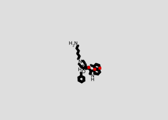 NCCCCCCN1CC2[C@@H](OCc3ccccc3)[C@H](OCc3ccccc3)[C@H](C1)N2CCc1c[nH]c2ccccc12